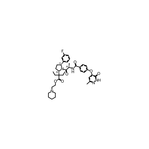 CCC(CC)(C(=O)OCCN1CCCCC1)[C@H]1CC[C@@H](c2cccc(F)c2)N1C(=O)[C@@H](C)NC(=O)c1ccc(Oc2cc(C)n[nH]c2=O)cc1